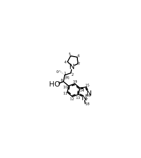 C[C@H](CN1CCCC1)C(O)c1ccc2c(cnn2C)c1